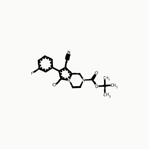 CC(C)(C)OC(=O)N1CCn2c(Cl)c(-c3cccc(F)c3)c(C#N)c2C1